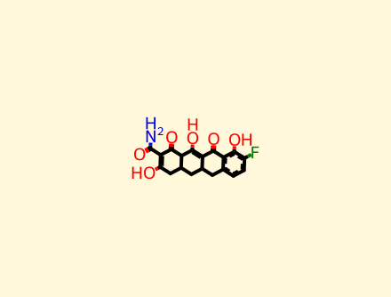 NC(=O)C1=C(O)CC2CC3Cc4ccc(F)c(O)c4C(=O)C3=C(O)C2C1=O